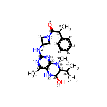 Cc1nc(NC2CN(C(=O)[C@@H](C)c3ccccc3)C2)nc2c1NC(O)[C@H](C(C)C)N2C